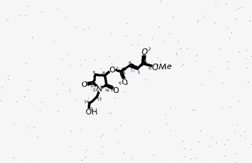 COC(=O)/C=C/C(=O)OC1CC(=O)N(CCO)C1=O